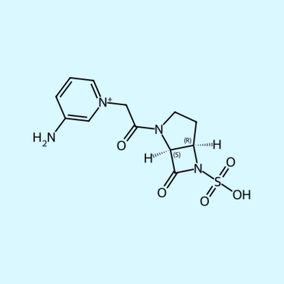 Nc1ccc[n+](CC(=O)N2CC[C@@H]3[C@H]2C(=O)N3S(=O)(=O)O)c1